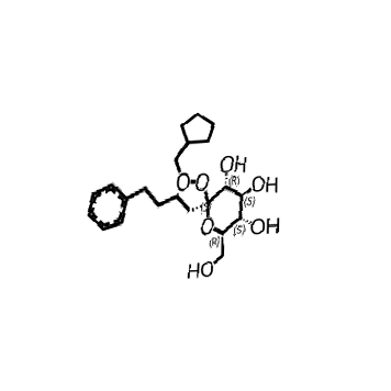 OC[C@H]1O[C@@](CCCCc2ccccc2)(OOCC2CCCC2)[C@H](O)[C@@H](O)[C@@H]1O